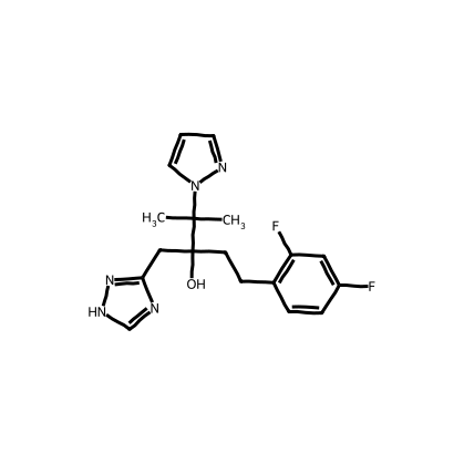 CC(C)(n1cccn1)C(O)(CCc1ccc(F)cc1F)Cc1nc[nH]n1